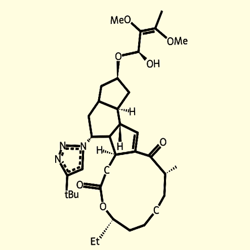 CC[C@H]1CCCC[C@@H](C)C(=O)C2=C[C@@H]3C([C@@H]2CC(=O)O1)[C@H](n1cc(C(C)(C)C)nn1)CC1C[C@@H](O[C@H](O)/C(OC)=C(/C)OC)C[C@H]13